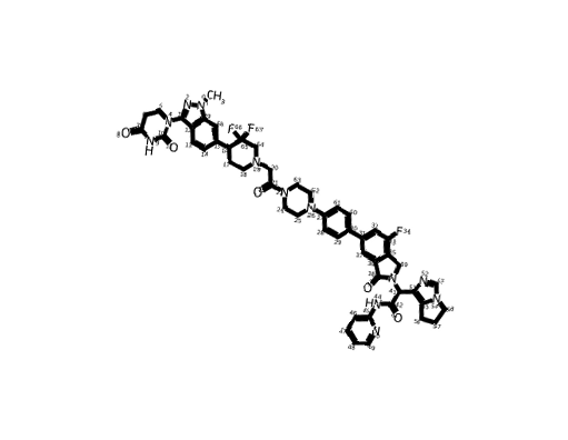 Cn1nc(N2CCC(=O)NC2=O)c2ccc(C3CCN(CC(=O)N4CCN(c5ccc(-c6cc(F)c7c(c6)C(=O)N(C(C(=O)Nc6ccccn6)c6ncn8c6CCC8)C7)cc5)CC4)CC3(F)F)cc21